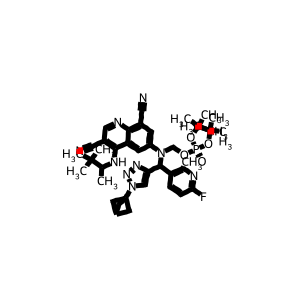 Cc1nc(F)ccc1C(c1cn(C23CC(C2)C3)nn1)N(COP(=O)(OC(C)(C)C)OC(C)(C)C)c1cc(C#N)c2ncc(C#N)c(NC(C)C(C)(C)C)c2c1